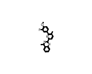 COc1ccc(-c2nc(-c3nc(C)c4ccccc4n3)ccc2C)cc1F